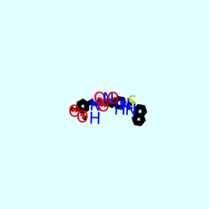 COc1ccc(CNC(=O)OC2=NOC3(CCN(C(=S)Nc4cccc5ccccc45)CC3)C2)cc1OC